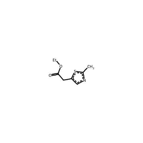 CCOC(=O)Cc1cnc(C)s1